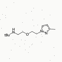 Cc1ccn(CCOCCNC(C)(C)C)n1